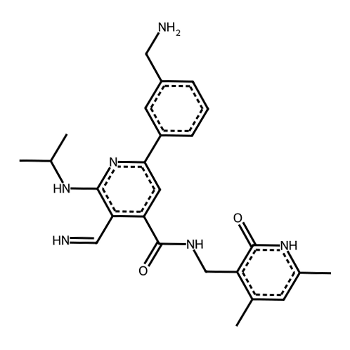 Cc1cc(C)c(CNC(=O)c2cc(-c3cccc(CN)c3)nc(NC(C)C)c2C=N)c(=O)[nH]1